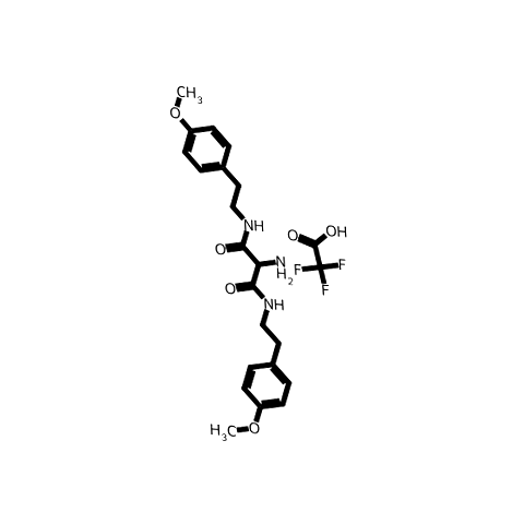 COc1ccc(CCNC(=O)C(N)C(=O)NCCc2ccc(OC)cc2)cc1.O=C(O)C(F)(F)F